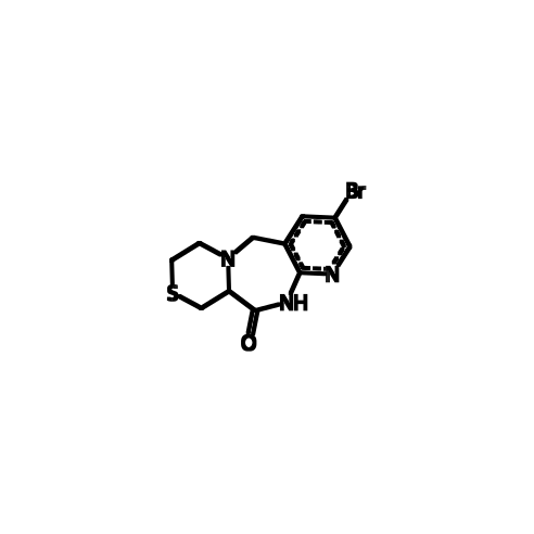 O=C1Nc2ncc(Br)cc2CN2CCSCC12